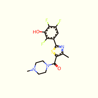 Cc1nc(-c2cc(F)c(F)c(O)c2F)sc1C(=O)N1CCN(C)CC1